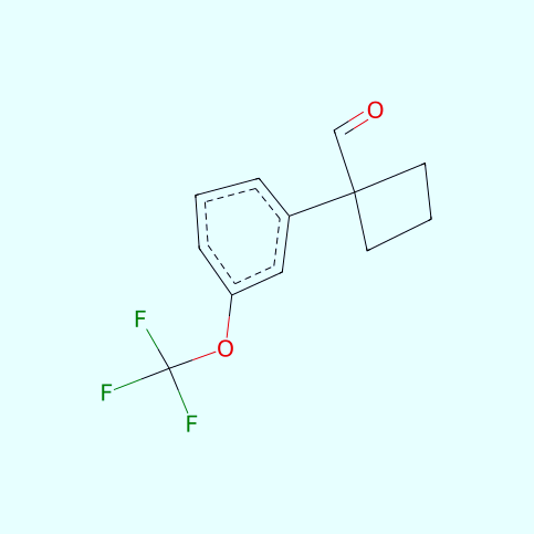 O=CC1(c2cccc(OC(F)(F)F)c2)CCC1